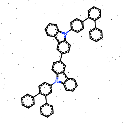 c1ccc(-c2ccccc2-c2ccc(-n3c4ccccc4c4cc(-c5ccc6c(c5)c5ccccc5n6-c5ccc(-c6ccccc6)c(-c6ccccc6)c5)ccc43)cc2)cc1